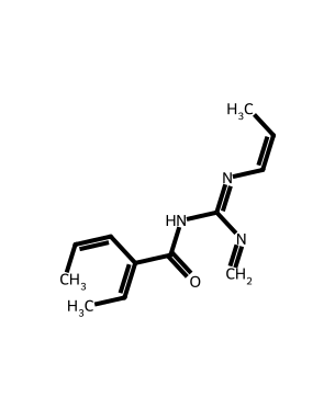 C=N/C(=N\C=C/C)NC(=O)C(/C=C\C)=C/C